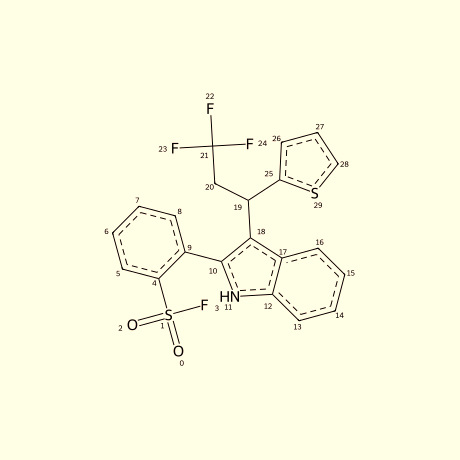 O=S(=O)(F)c1ccccc1-c1[nH]c2ccccc2c1C(CC(F)(F)F)c1cccs1